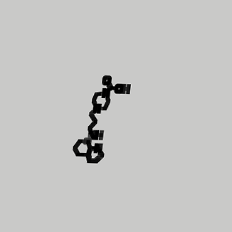 O=C(O)N1CCN(CCCN[C@H]2CCCc3cccnc32)CC1